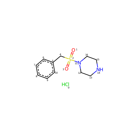 Cl.O=S(=O)(Cc1ccccc1)N1CCNCC1